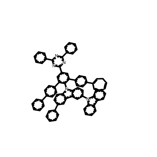 C1=CCC=C(c2ccc(-c3cc(-c4nc(-c5ccccc5)nc(-c5ccccc5)n4)cc(-c4ccc(-c5ccccc5)cc4)c3-n3c4ccc(-c5ccccc5)cc4c4cc(-n5c6ccccc6c6ccccc65)ccc43)cc2)C=C1